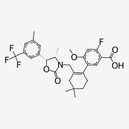 COc1cc(F)c(C(=O)O)cc1C1=C(CN2C(=O)O[C@H](c3cc(C)cc(C(F)(F)F)c3)[C@@H]2C)CC(C)(C)CC1